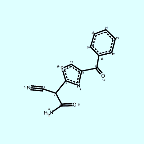 N#CC(C(N)=O)c1nc(C(=O)c2ccccc2)cs1